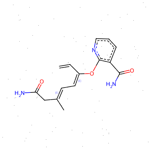 C=C/C(=C\C=C(/C)CC(N)=O)Oc1ncccc1C(N)=O